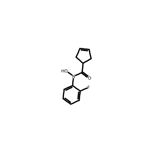 O=C(C1CC=CC1)N(O)c1ccccc1F